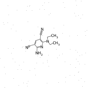 CCN(CC)c1nc(N)c(C#N)cc1C#N